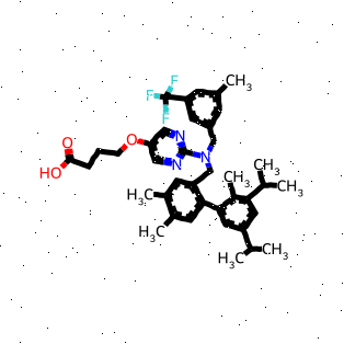 Cc1cc(CN(Cc2cc(C)c(C)cc2-c2cc(C(C)C)cc(C(C)C)c2C)c2ncc(OCCCC(=O)O)cn2)cc(C(F)(F)F)c1